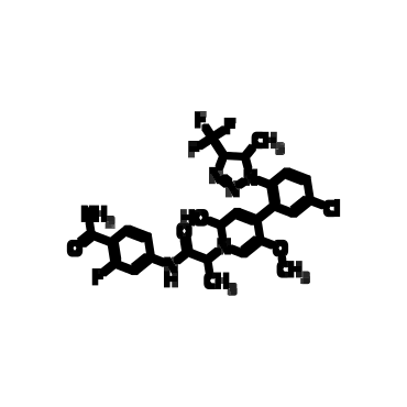 COC1=CN(C(C)C(=O)Nc2ccc(C(N)=O)c(F)c2)C(O)C=C1c1cc(Cl)ccc1N1N=NC(C(F)(F)F)C1C